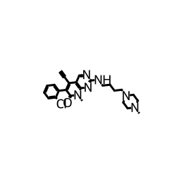 C#Cc1c(-c2ccccc2Cl)c(=O)n(C)c2nc(NCCCCN3CCN(C)CC3)ncc12